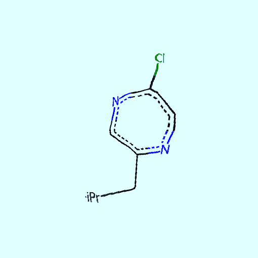 C[C](C)Cc1cnc(Cl)cn1